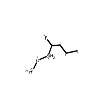 CCCC(F)[SiH2]O[SiH3]